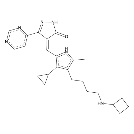 Cc1[nH]c(C=C2C(=O)NN=C2c2ccncn2)c(C2CC2)c1CCCCNC1CCC1